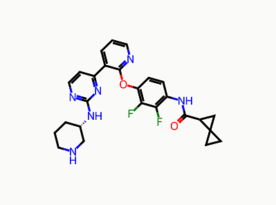 O=C(Nc1ccc(Oc2ncccc2-c2ccnc(N[C@H]3CCCNC3)n2)c(F)c1F)C1CC12CC2